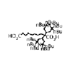 CCCCN1C(CCCC)(CCCC)CC(C(CCCCCCCC(=O)O)(C(=O)O)C2CC(CCCC)(CCCC)N(CCCC)C(CCCC)(CCCC)C2)CC1(CCCC)CCCC